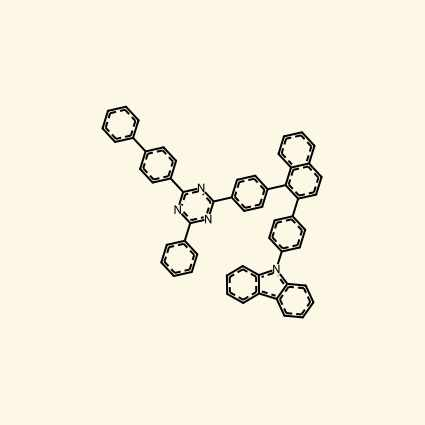 c1ccc(-c2ccc(-c3nc(-c4ccccc4)nc(-c4ccc(-c5c(-c6ccc(-n7c8ccccc8c8ccccc87)cc6)ccc6ccccc56)cc4)n3)cc2)cc1